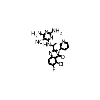 CC(Nc1nc(N)nc(N)c1C#N)c1nc2ccc(F)c(Cl)c2c(=O)n1-c1cccnc1